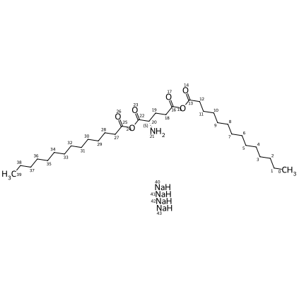 CCCCCCCCCCCCCC(=O)OC(=O)CC[C@H](N)C(=O)OC(=O)CCCCCCCCCCCCC.[NaH].[NaH].[NaH].[NaH]